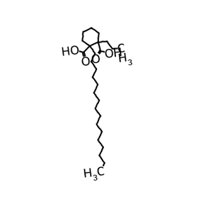 CCCCCCCCCCCCCCCCC1(C(=O)O)CCCCC1(CCC)C(=O)O